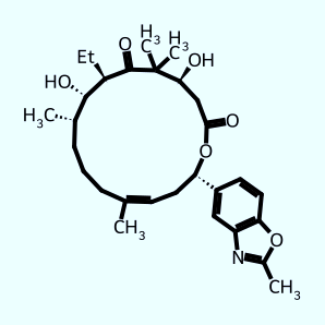 CC[C@H]1C(=O)C(C)(C)[C@@H](O)CC(=O)O[C@H](c2ccc3oc(C)nc3c2)CC=C(C)CCC[C@H](C)[C@@H]1O